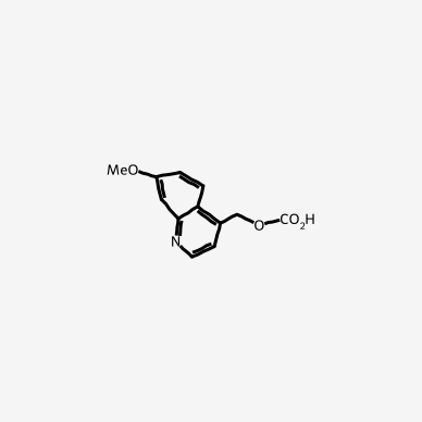 COc1ccc2c(COC(=O)O)ccnc2c1